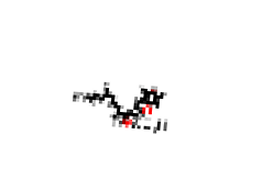 CCOCC(=O)O.Cc1c(C)c2c(c(C)c1O)CC[C@@](C)(CCCC(C)CCCC(C)CCCC(C)C)O2